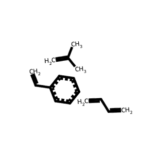 C=C(C)C.C=CC=C.C=Cc1ccccc1